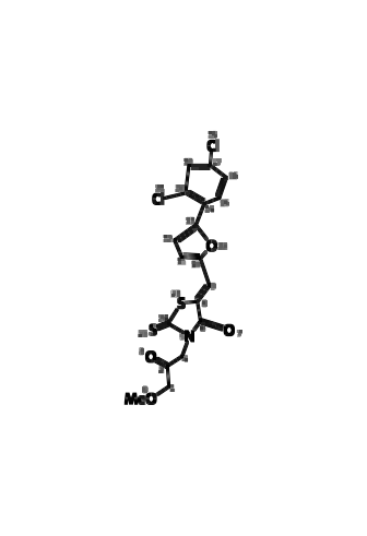 COCC(=O)CN1C(=O)C(=Cc2ccc(-c3ccc(Cl)cc3Cl)o2)SC1=S